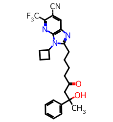 CC(O)(CC(=O)CCCCc1nc2cc(C#N)c(C(F)(F)F)nc2n1C1CCC1)c1ccccc1